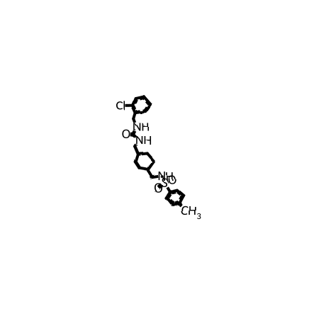 Cc1ccc(S(=O)(=O)NCC2CCC(CNC(=O)NCc3ccccc3Cl)CC2)cc1